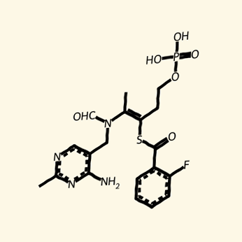 C/C(=C(\CCOP(=O)(O)O)SC(=O)c1ccccc1F)N(C=O)Cc1cnc(C)nc1N